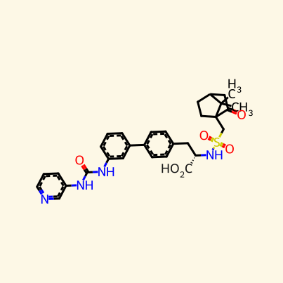 CC1(C)C2CCC1(CS(=O)(=O)N[C@@H](Cc1ccc(-c3cccc(NC(=O)Nc4cccnc4)c3)cc1)C(=O)O)C(=O)C2